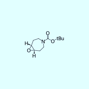 CC(C)(C)OC(=O)N1CC[C@@H]2O[C@@H]2CC1